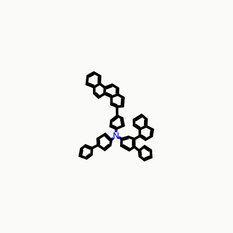 c1ccc(-c2ccc(N(c3ccc(-c4ccc5ccc6c7ccccc7ccc6c5c4)cc3)c3ccc(-c4ccccc4)c(-c4cccc5ccccc45)c3)cc2)cc1